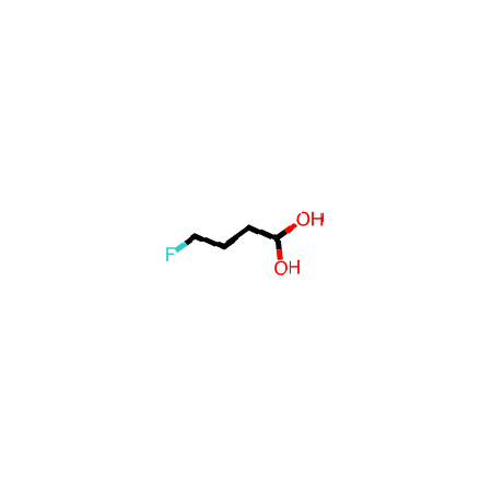 OC(O)CCCF